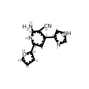 N#Cc1c(-c2c[nH]cn2)cc(-c2ccco2)nc1N